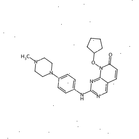 CN1CCN(c2ccc(Nc3ncc4ccc(=O)n(OC5CCCC5)c4n3)cc2)CC1